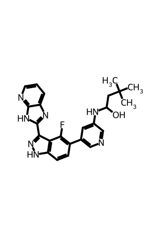 CC(C)(C)CC(O)Nc1cncc(-c2ccc3[nH]nc(-c4nc5cccnc5[nH]4)c3c2F)c1